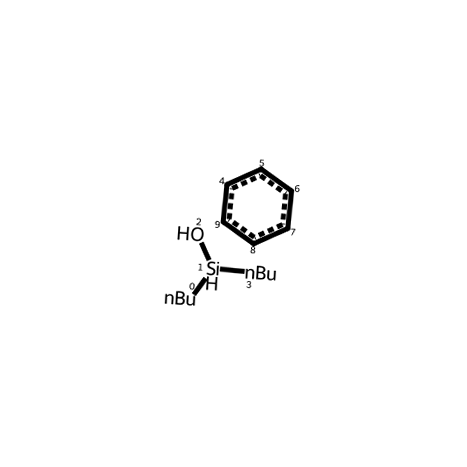 CCCC[SiH](O)CCCC.c1ccccc1